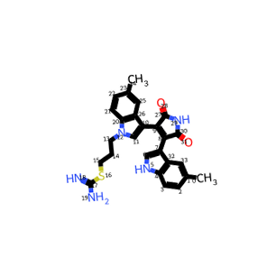 Cc1ccc2[nH]cc(C3=C(c4cn(CCCSC(=N)N)c5ccc(C)cc45)C(=O)NC3=O)c2c1